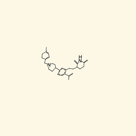 C=C1CCC(CCc2cc(C3CCN(CC4=CC=C(C)CC4)CC3)ccc2C(=C)C)C(=C)N1